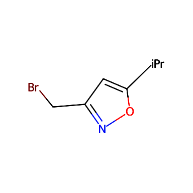 CC(C)c1cc(CBr)no1